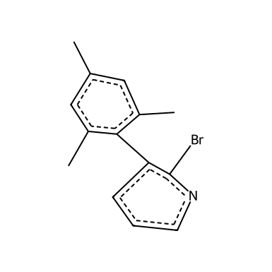 Cc1cc(C)c(-c2cccnc2Br)c(C)c1